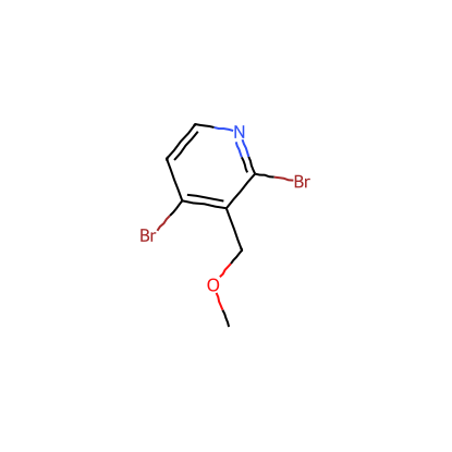 COCc1c(Br)ccnc1Br